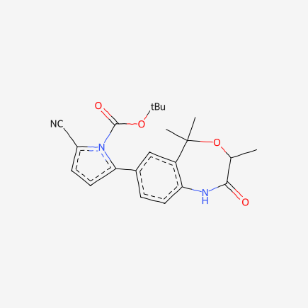 CC1OC(C)(C)c2cc(-c3ccc(C#N)n3C(=O)OC(C)(C)C)ccc2NC1=O